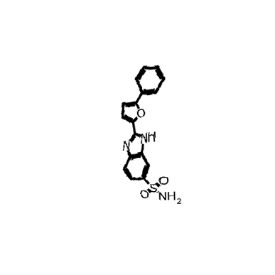 NS(=O)(=O)c1ccc2nc(-c3ccc(-c4ccccc4)o3)[nH]c2c1